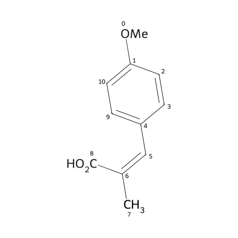 COc1ccc(/C=C(/C)C(=O)O)cc1